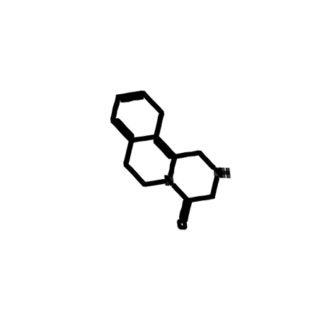 O=C1CNCC2=C3CC=CC=C3CCN12